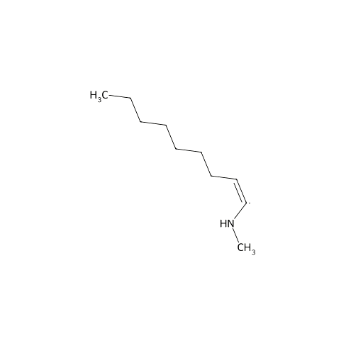 CCCCCCC/C=[C]\NC